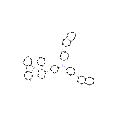 c1ccc(C2(c3cccc(-c4ccc(N(c5ccc(-c6ccc7ccccc7c6)cc5)c5ccc(-c6ccc7ccccc7c6)cc5)cc4)c3)c3ccccc3-c3ccccc32)cc1